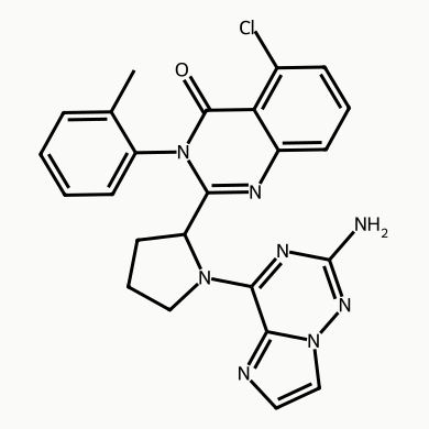 Cc1ccccc1-n1c(C2CCCN2c2nc(N)nn3ccnc23)nc2cccc(Cl)c2c1=O